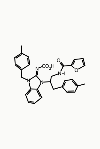 Cc1ccc(CC(CNC(=O)c2ccco2)n2c(=NC(=O)O)n(Cc3ccc(C)cc3)c3ccccc32)cc1